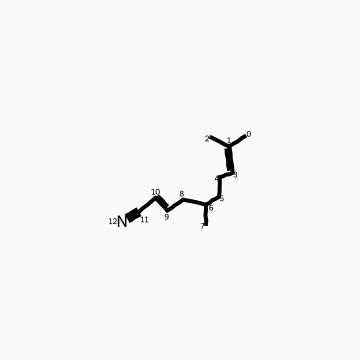 CC(C)=CCCC(C)CC=CC#N